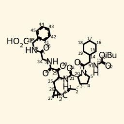 C=CC[C@H]1CCN(C(=O)[C@@H](NC(=O)OCC(C)C)C2CCCCC2)[C@@H]1C(=O)NC(CC1CC1)C(=O)C(=O)NCC(=O)N[C@H](C(=O)O)c1ccccc1